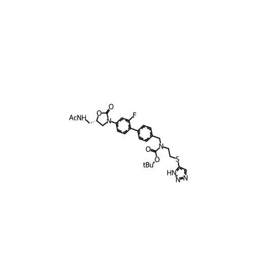 CC(=O)NC[C@H]1CN(c2ccc(-c3ccc(CN(CCSc4cnn[nH]4)C(=O)OC(C)(C)C)cc3)c(F)c2)C(=O)O1